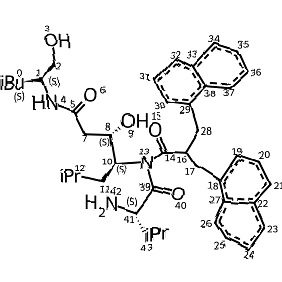 CC[C@H](C)[C@@H](CO)NC(=O)C[C@H](O)[C@H](CC(C)C)N(C(=O)C(Cc1cccc2ccccc12)Cc1cccc2ccccc12)C(=O)[C@@H](N)C(C)C